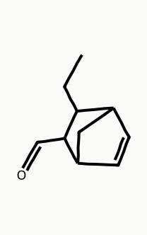 CCC1C2C=CC(C2)C1C=O